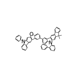 CC1(C)c2ccccc2-c2cc3c4cc(-c5ccc6oc7cc8c(cc7c6c5)c5ccccc5n8-c5ccccc5)ccc4n(-c4ccccc4-c4ccccc4)c3cc21